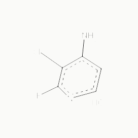 Cl.Nc1ccnc(F)c1Cl